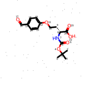 CC(C)(C)OC(=O)N[C@H](CCOc1ccc(C=O)cc1)C(=O)O